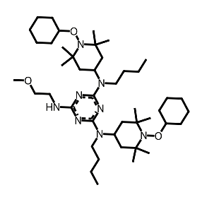 CCCCN(c1nc(NCCOC)nc(N(CCCC)C2CC(C)(C)N(OC3CCCCC3)C(C)(C)C2)n1)C1CC(C)(C)N(OC2CCCCC2)C(C)(C)C1